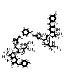 CN[C@@H](C)C(=O)N[C@H](C(=O)N1CC(C)(C)c2[nH]c(=O)c(Cc3ccc(F)cc3)cc21)[C@H](C)n1cc(COc2cccc(OCc3cn([C@@H](C)[C@H](NC(=O)[C@H](C)NC)C(=O)N4CC(C)(C)c5[nH]c(=O)c(Cc6ccc(F)cc6)cc54)nn3)c2)nn1